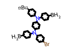 Bc1ccc(N(c2ccc(Br)cc2)c2ccc(N(c3ccc(B)cc3)c3ccc(CCCC)cc3)cc2)cc1